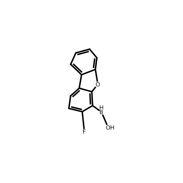 OBc1c(F)ccc2c1oc1ccccc12